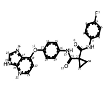 O=C(Nc1ccc(F)cc1)C1(C(=O)Nc2ccc(Oc3ccnc4[nH]cnc34)cc2)CC1